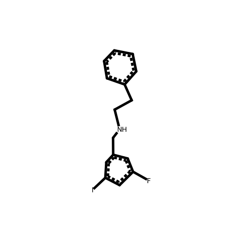 Fc1cc(I)cc(CNCCc2ccccc2)c1